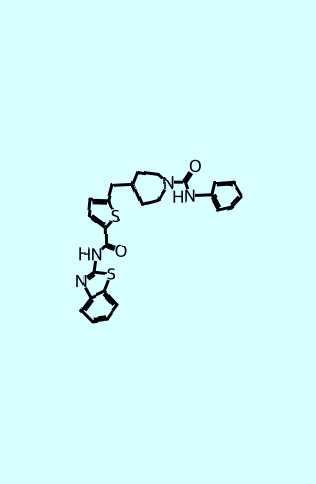 O=C(Nc1nc2ccccc2s1)c1ccc(CC2CCN(C(=O)Nc3ccccc3)CC2)s1